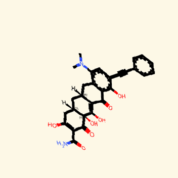 CN(C)c1cc(C#Cc2ccccc2)c(O)c2c1C[C@H]1C[C@H]3CC(O)=C(C(N)=O)C(=O)[C@@]3(O)C(O)=C1C2=O